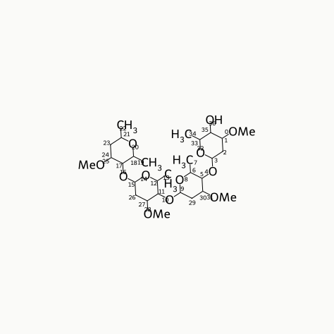 COC1CC(OC2C(C)OC(OC3C(C)OC(OC4C(C)OC(C)CC4OC)CC3OC)CC2OC)OC(C)C1O